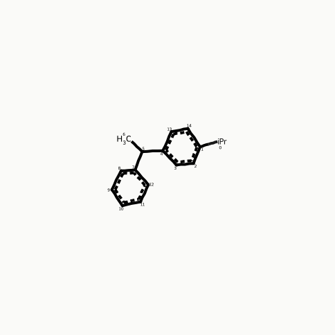 CC(C)c1ccc(C(C)c2ccccc2)cc1